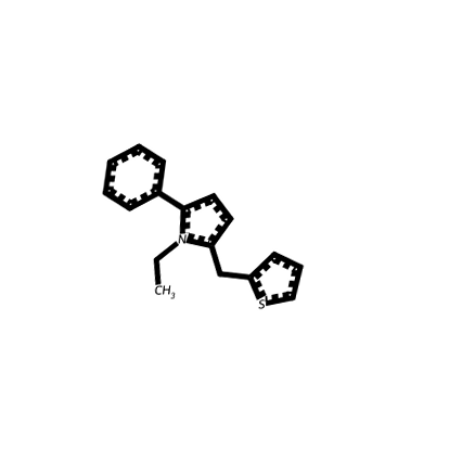 CCn1c(Cc2cccs2)ccc1-c1ccccc1